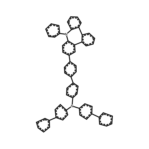 c1ccc(-c2ccc(N(c3ccc(-c4ccccc4)cc3)c3ccc(-c4ccc(-c5ccc6c(c5)-c5ccccc5-c5ccccc5N6c5ccccc5)cc4)cc3)cc2)cc1